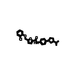 CN(C)C1CCN(c2ccc(NC(=O)c3ccc(COc4ccccc4Cl)o3)cc2)C1